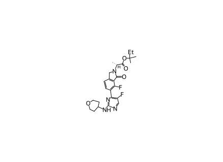 CCC(C)(C)OC(=O)[C@@H](C)N1Cc2ccc(-c3nc(NC4CCOCC4)ncc3F)c(F)c2C1=O